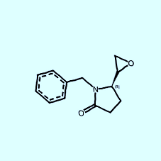 O=C1CC[C@H](C2CO2)N1Cc1ccccc1